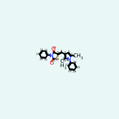 Cc1cc(/C=C2\SC(=O)N(c3ccccc3)C2=O)c(C)n1-c1ccccc1